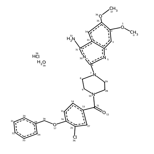 COc1cc2nc(N3CCN(C(=O)c4ccc(OCc5ccccc5)c(Cl)c4)CC3)nc(N)c2cc1OC.Cl.O